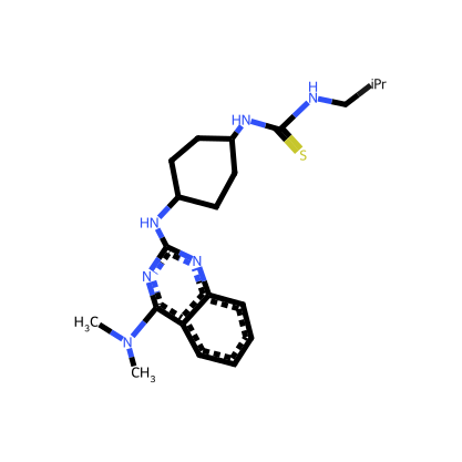 CC(C)CNC(=S)NC1CCC(Nc2nc(N(C)C)c3ccccc3n2)CC1